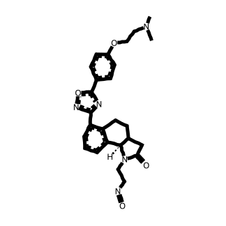 CN(C)CCOc1ccc(-c2nc(-c3cccc4c3CCC3CC(=O)N(CCN=O)[C@@H]43)no2)cc1